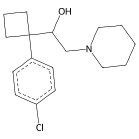 OC(CN1CCCCC1)C1(c2ccc(Cl)cc2)CCC1